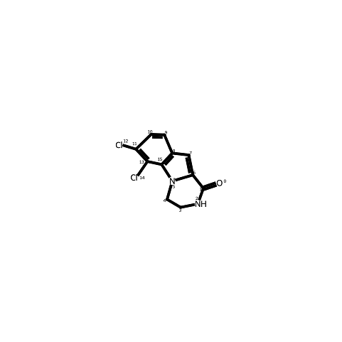 O=C1NCCn2c1cc1ccc(Cl)c(Cl)c12